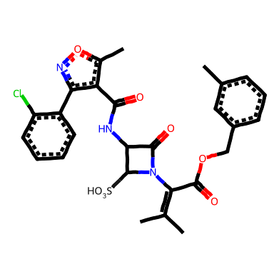 CC(C)=C(C(=O)OCc1cccc(C)c1)N1C(=O)C(NC(=O)c2c(-c3ccccc3Cl)noc2C)C1S(=O)(=O)O